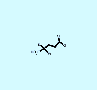 CCC(CC)(CCC(Cl)Cl)C(=O)O